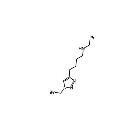 CC(C)CNCCCCc1cn(CC(C)C)nn1